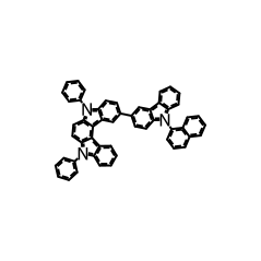 c1ccc(-n2c3ccccc3c3c4c5cc(-c6ccc7c(c6)c6ccccc6n7-c6cccc7ccccc67)ccc5n(-c5ccccc5)c4ccc32)cc1